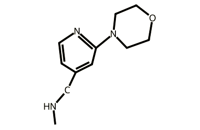 CNCc1ccnc(N2CCOCC2)c1